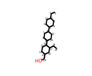 CCC1CCC(C2CCC(C3CCC(CO)CC3CC)CC2)CC1